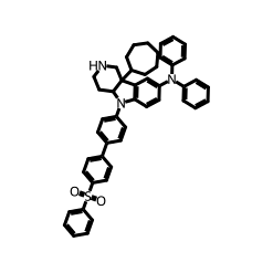 O=S(=O)(c1ccccc1)c1ccc(-c2ccc(N3c4ccc(N(c5ccccc5)c5ccccc5)cc4C4(C5CCCCCC5)CNCCC34)cc2)cc1